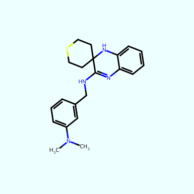 CN(C)c1cccc(CNC2=Nc3ccccc3NC23CCSCC3)c1